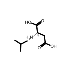 CC(C)C.N[C@@H](CC(=O)O)C(=O)O